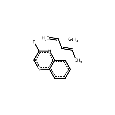 C=CC=CC.Fc1cnc2ccccc2n1.[GeH4]